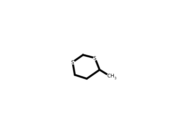 CC1CCS[CH]S1